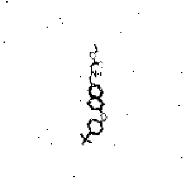 CCOC(=O)CNCc1ccc2cc(OC3CCC(C(C)(C)C)CC3)ccc2c1